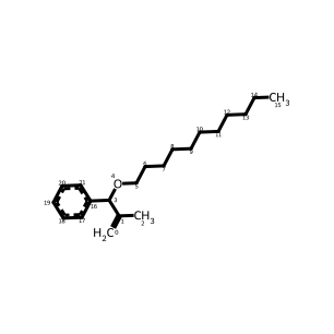 C=C(C)C(OCCCCCCCCCCC)c1ccccc1